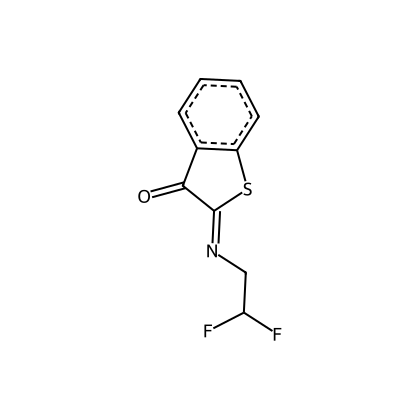 O=C1/C(=N/CC(F)F)Sc2ccccc21